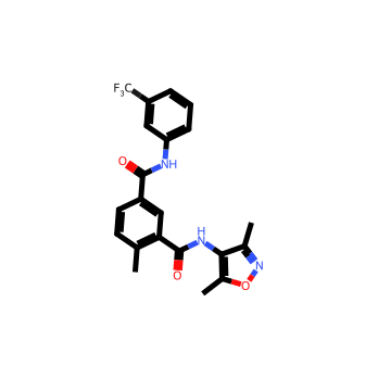 Cc1ccc(C(=O)Nc2cccc(C(F)(F)F)c2)cc1C(=O)Nc1c(C)noc1C